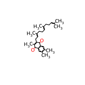 CC(C)=CCC/C(C)=C/CC/C(C)=C/CC1=C(C)C(=O)c2cc(C)c(C)cc2C1=O